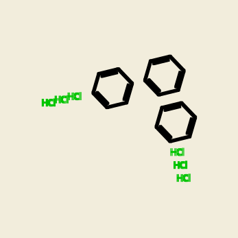 Cl.Cl.Cl.Cl.Cl.Cl.c1ccccc1.c1ccccc1.c1ccccc1